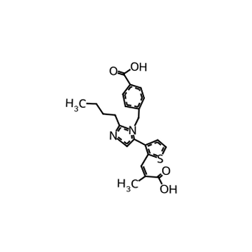 CCCCc1ncc(-c2ccsc2C=C(C)C(=O)O)n1Cc1ccc(C(=O)O)cc1